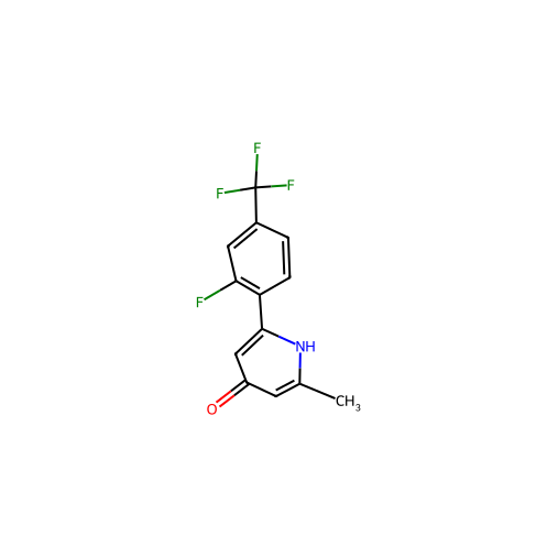 Cc1cc(=O)cc(-c2ccc(C(F)(F)F)cc2F)[nH]1